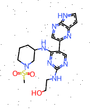 CS(=O)(=O)N1CCCC(Nc2nc(NCCO)ncc2-c2cnc3[nH]ccc3n2)C1